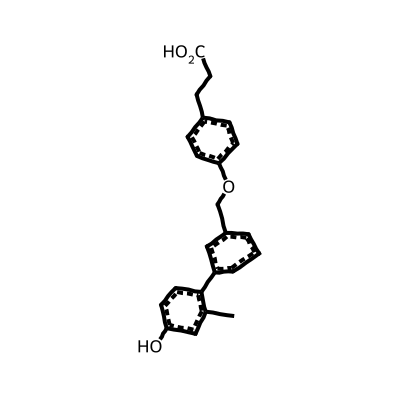 Cc1cc(O)ccc1-c1cccc(COc2ccc(CCC(=O)O)cc2)c1